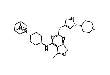 CC(=O)N1C2CC1CN([C@H]1CC[C@H](Nc3nc(Nc4cnn(C5CCOCC5)c4)nc4snc(C)c34)CC1)C2